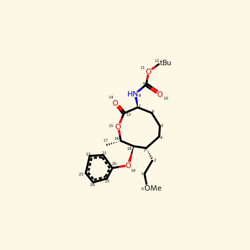 COCC[C@H]1CCC[C@H](NC(=O)OC(C)(C)C)C(=O)O[C@@H](C)[C@@H]1Oc1ccccc1